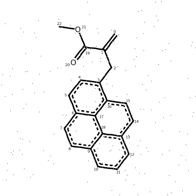 C=C(Cc1ccc2ccc3cccc4ccc1c2c34)C(=O)OC